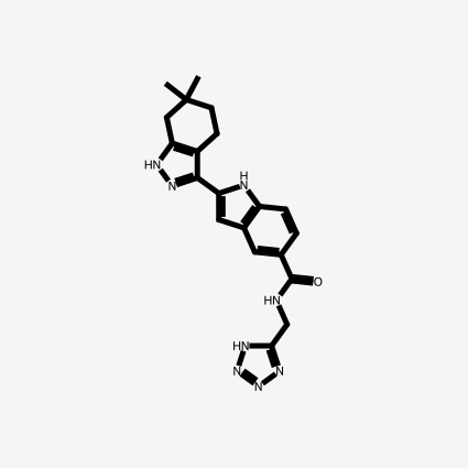 CC1(C)CCc2c(-c3cc4cc(C(=O)NCc5nnn[nH]5)ccc4[nH]3)n[nH]c2C1